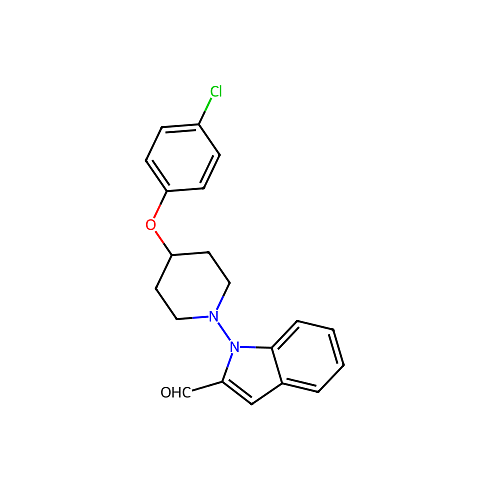 O=Cc1cc2ccccc2n1N1CCC(Oc2ccc(Cl)cc2)CC1